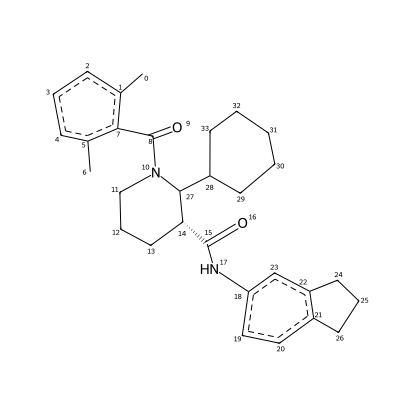 Cc1cccc(C)c1C(=O)N1CCC[C@@H](C(=O)Nc2ccc3c(c2)CCC3)C1C1CCCCC1